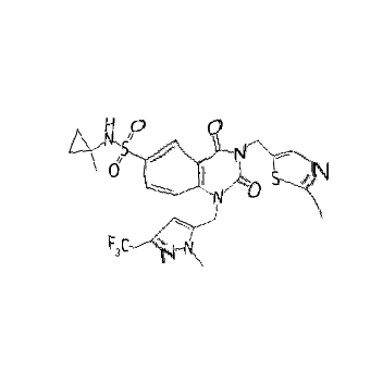 Cc1ncc(Cn2c(=O)c3cc(S(=O)(=O)NC4(C)CC4)ccc3n(Cc3cc(C(F)(F)F)nn3C)c2=O)s1